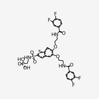 O=C(NCCOc1cc2cc(S(=O)(=O)NCP(=O)(O)O)sc2cc1OCCNC(=O)c1ccc(F)c(F)c1)c1ccc(F)c(F)c1